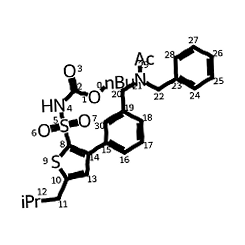 CCCCOC(=O)NS(=O)(=O)c1sc(CC(C)C)cc1-c1cccc(CN(Cc2ccccc2)C(C)=O)c1